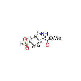 COC(=O)C1NCc2cc(S(C)(=O)=O)ccc21